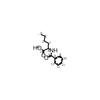 [CH2]CCCC(NC(=O)c1ccccc1)C(=O)O